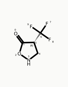 O=C1ONC[C@H]1C(F)(F)F